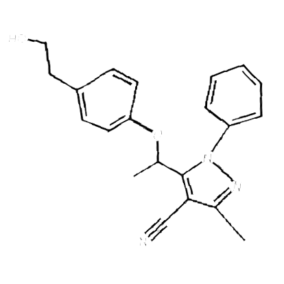 Cc1nn(-c2ccccc2)c(C(C)Oc2ccc(CCO)cc2)c1C#N